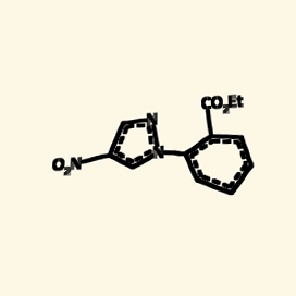 CCOC(=O)c1ccccc1-n1cc([N+](=O)[O-])cn1